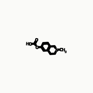 CN1CCc2cc(OC(=O)O)ccc2C1